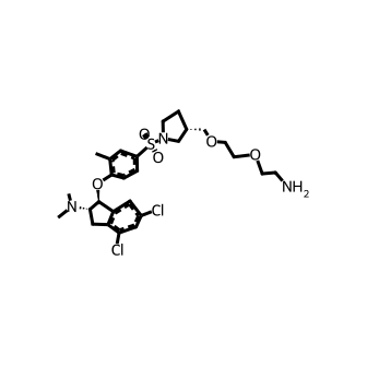 Cc1cc(S(=O)(=O)N2CC[C@H](COCCOCCN)C2)ccc1O[C@H]1c2cc(Cl)cc(Cl)c2C[C@@H]1N(C)C